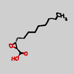 CCCCCCCCC[C@H]1O[C@@H]1C(=O)O